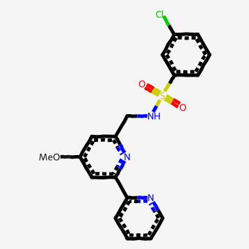 COc1cc(CNS(=O)(=O)c2cccc(Cl)c2)nc(-c2ccccn2)c1